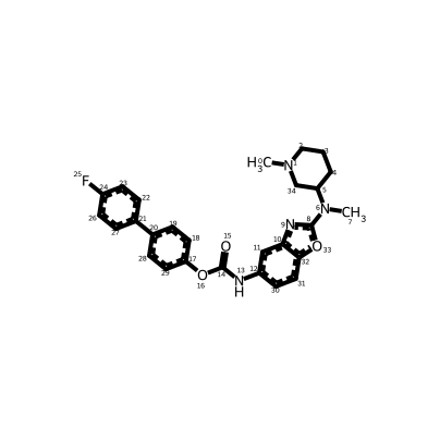 CN1CCCC(N(C)c2nc3cc(NC(=O)Oc4ccc(-c5ccc(F)cc5)cc4)ccc3o2)C1